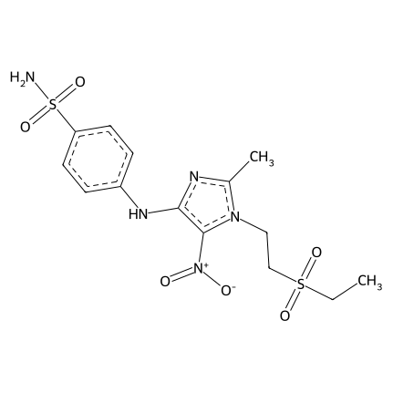 CCS(=O)(=O)CCn1c(C)nc(Nc2ccc(S(N)(=O)=O)cc2)c1[N+](=O)[O-]